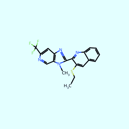 CCSc1cc2ccccc2nc1-c1nc2cc(C(F)(F)F)ncc2n1C